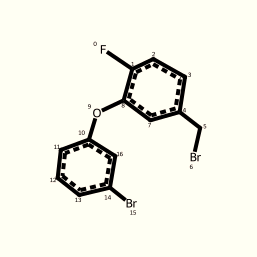 Fc1ccc(CBr)cc1Oc1cccc(Br)c1